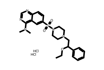 CCOC(CN1CCN(S(=O)(=O)c2ccc3ncnc(N(C)C)c3c2)CC1)c1ccccc1.Cl.Cl